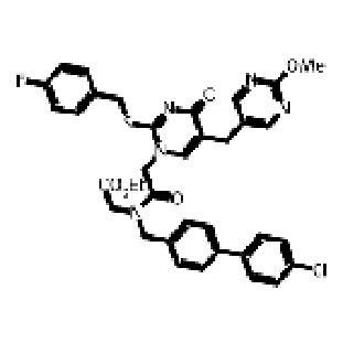 CCOC(=O)CN(Cc1ccc(-c2ccc(Cl)cc2)cc1)C(=O)Cn1cc(Cc2cnc(OC)nc2)c(=O)nc1SCc1ccc(F)cc1